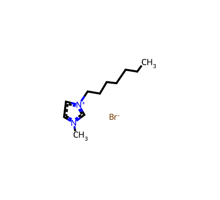 CCCCCCC[n+]1ccn(C)c1.[Br-]